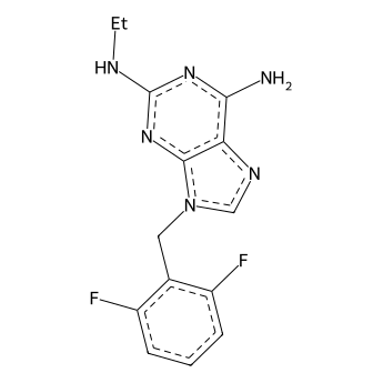 CCNc1nc(N)c2ncn(Cc3c(F)cccc3F)c2n1